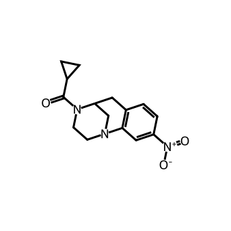 O=C(C1CC1)N1CCN2CC1Cc1ccc([N+](=O)[O-])cc12